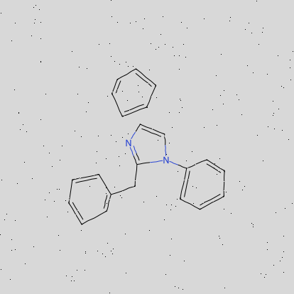 c1ccc(Cc2nccn2-c2ccccc2)cc1.c1ccccc1